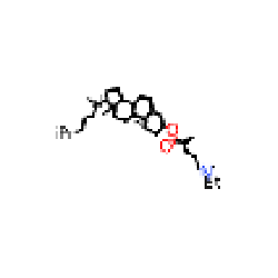 C=C(CCCN(C)CC)C(=O)O[C@H]1CC[C@@]2(C)C(CCC3C2CC[C@@]2(C)C3CC[C@@H]2[C@H](C)CCCC(C)C)C1